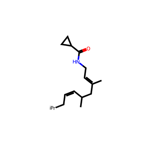 C/C(=C\CNC(=O)C1CC1)CC(C)/C=C\CC(C)C